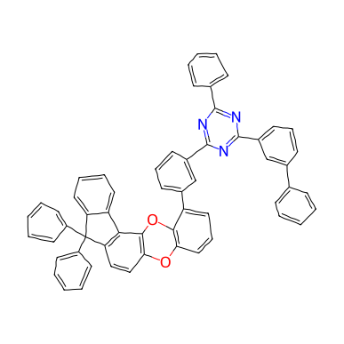 c1ccc(-c2cccc(-c3nc(-c4ccccc4)nc(-c4cccc(-c5cccc6c5Oc5c(ccc7c5-c5ccccc5C7(c5ccccc5)c5ccccc5)O6)c4)n3)c2)cc1